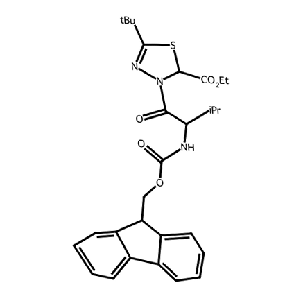 CCOC(=O)C1SC(C(C)(C)C)=NN1C(=O)C(NC(=O)OCC1c2ccccc2-c2ccccc21)C(C)C